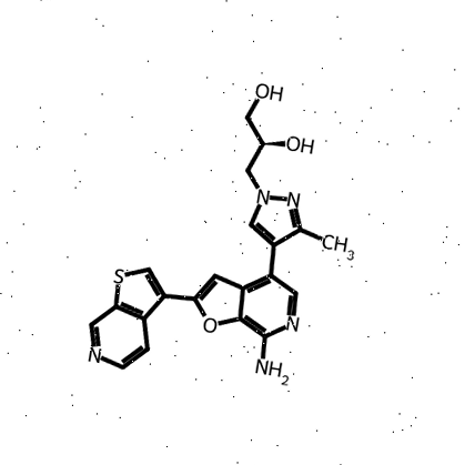 Cc1nn(C[C@H](O)CO)cc1-c1cnc(N)c2oc(-c3csc4cnccc34)cc12